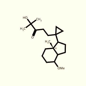 COC1CCC[C@@]2(C)C1CCC2C1(CCC(=O)C(C)(C)O)CC1